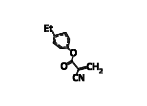 C=C(C#N)C(=O)Oc1ccc(CC)cc1